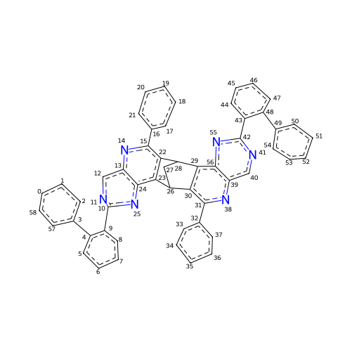 c1ccc(-c2ccccc2-c2ncc3nc(-c4ccccc4)c4c(c3n2)C2CC4c3c2c(-c2ccccc2)nc2cnc(-c4ccccc4-c4ccccc4)nc32)cc1